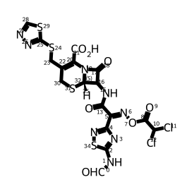 O=CNc1nc(C(=NOC(=O)C(Cl)Cl)C(=O)NC2C(=O)N3C(C(=O)O)=C(CSc4nncs4)CS[C@@H]23)ns1